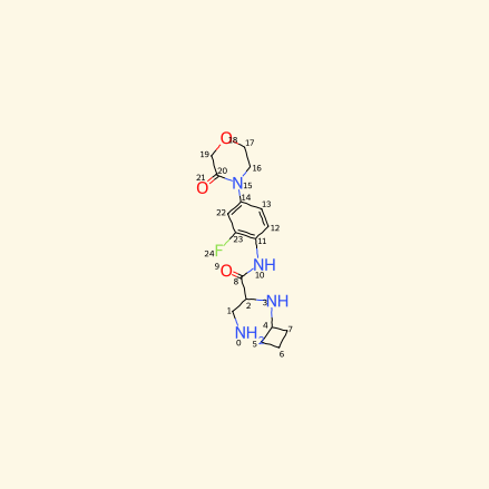 NCC(NC1CCC1)C(=O)Nc1ccc(N2CCOCC2=O)cc1F